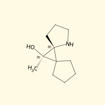 C[C@@]1(O)C2(CCCC2)[C@]12CCCN2